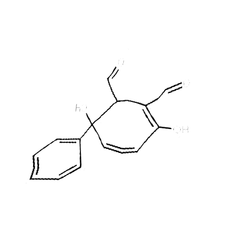 O=CC1=C(O)C=CC(O)(c2ccccc2)C1C=O